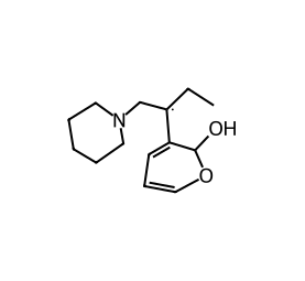 CC[C](CN1CCCCC1)C1=CC=COC1O